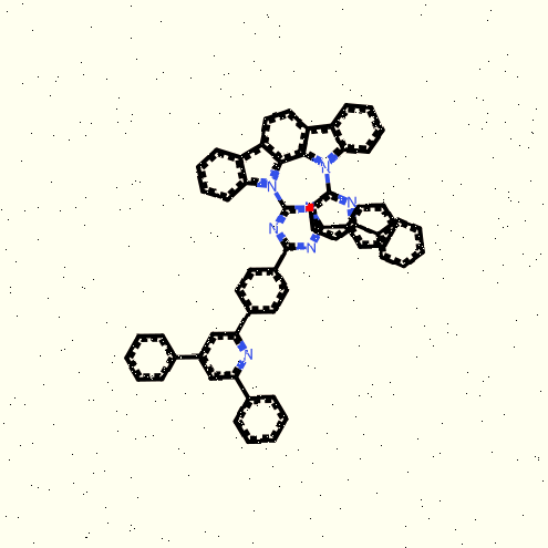 c1ccc(-c2cc(-c3ccccc3)nc(-c3ccc(-c4nc(-c5ccccc5)nc(-n5c6ccccc6c6ccc7c8ccccc8n(-c8cccc(-c9ccccc9)n8)c7c65)n4)cc3)c2)cc1